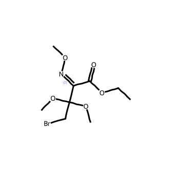 CCOC(=O)/C(=N\OC)C(CBr)(OC)OC